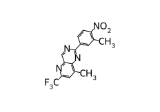 Cc1cc(-c2ncc3nc(C(F)(F)F)cc(C)c3n2)ccc1[N+](=O)[O-]